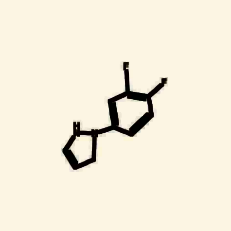 Fc1ccc(N2CC=CN2)cc1F